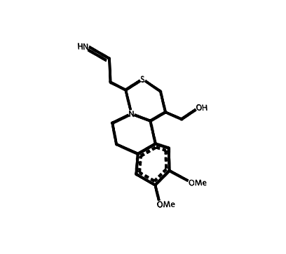 COc1cc2c(cc1OC)C1C(CO)CSC(CC=N)N1CC2